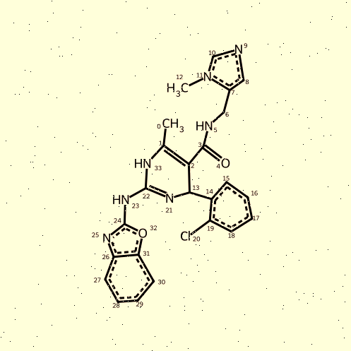 CC1=C(C(=O)NCc2cncn2C)C(c2ccccc2Cl)N=C(Nc2nc3ccccc3o2)N1